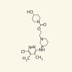 Cc1c(Cl)nnc(N[C@@H]2CCCN(CCOC(=O)N3CCC(O)CC3)C2)c1C